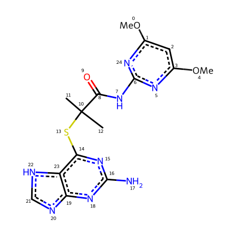 COc1cc(OC)nc(NC(=O)C(C)(C)Sc2nc(N)nc3nc[nH]c23)n1